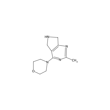 Cc1nc2c(c(N3CCOCC3)n1)CNC2